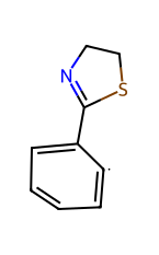 [c]1ccccc1C1=NCCS1